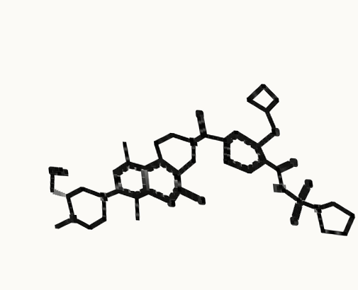 COC[C@@H]1CN(c2cc(C)c3c4c(c(=O)oc3c2C)CN(C(=O)c2ccc(C(=O)NS(=O)(=O)N3CCCC3)c(OC3CCC3)c2)CC4)CCN1C